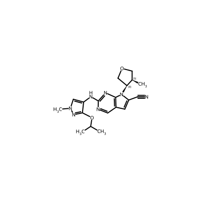 CC(C)Oc1nn(C)cc1Nc1ncc2cc(C#N)n([C@H]3COC[C@H]3C)c2n1